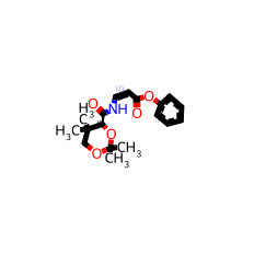 CC1(C)OCC(C)(C)[C@@H](C(=O)N/C=C\C(=O)Oc2ccccc2)O1